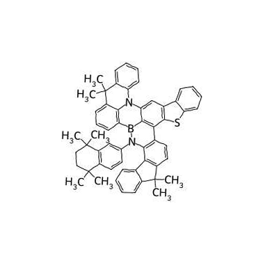 CC1(C)CCC(C)(C)c2cc(N3B4c5cccc6c5N(c5ccccc5C6(C)C)c5cc6c(sc7ccccc76)c(c54)-c4ccc5c(c43)-c3ccccc3C5(C)C)ccc21